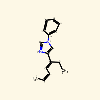 C/C=C\C=C(/CC)c1cn(-c2ccccc2)cn1